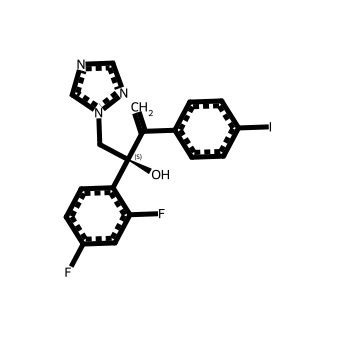 C=C(c1ccc(I)cc1)[C@@](O)(Cn1cncn1)c1ccc(F)cc1F